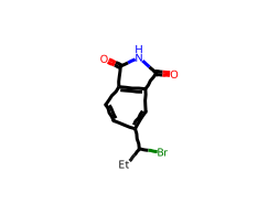 CCC(Br)c1ccc2c(c1)C(=O)NC2=O